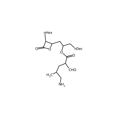 CCCCCCCCCCCC(CC1OC(=O)C1CCCCCC)OC(=O)C(C=O)CC(C)CN